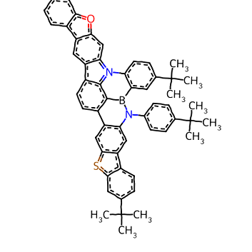 CC(C)(C)c1ccc(N2B3c4cc(C(C)(C)C)ccc4-n4c5cc6oc7ccccc7c6cc5c5ccc(c3c54)-c3cc4sc5cc(C(C)(C)C)ccc5c4cc32)cc1